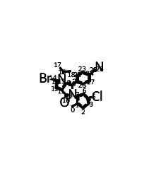 Cc1ccc(Cl)cc1N1C(=O)c2cc(Br)n(C(C)C)c2C1c1ccc(C#N)cc1